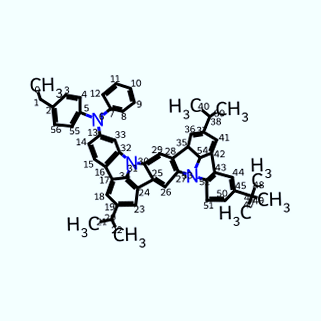 CCc1ccc(N(c2ccccc2)c2ccc3c4cc(C(C)C)cc5c6cc7c(cc6n(c3c2)c45)C2C=C(C(C)C)C=C3c4cc(C(C)(C)C)ccc4N7C32)cc1